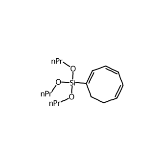 CCCO[Si](OCCC)(OCCC)C1=CC=CC=CCC1